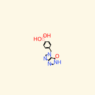 O=c1[nH]cnc2ncn(Cc3ccc(B(O)O)cc3)c12